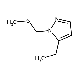 CCc1ccnn1CSC